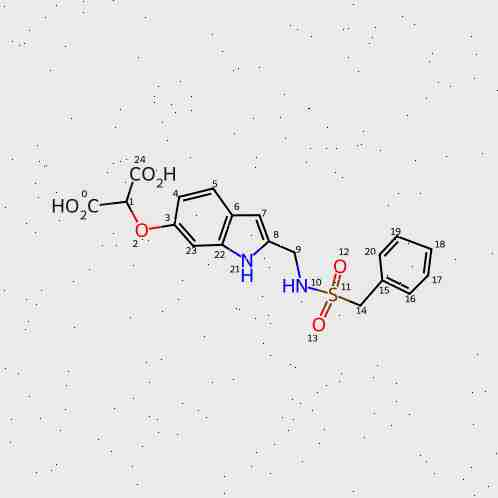 O=C(O)C(Oc1ccc2cc(CNS(=O)(=O)Cc3ccccc3)[nH]c2c1)C(=O)O